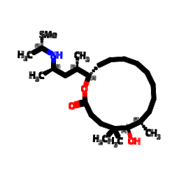 CS[C@@H](C)N[C@H](C)C[C@H](C)[C@@H]1CCCCCCCC[C@H](C)[C@@H](O)C(C)(C)CCC(=O)O1